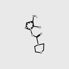 Nc1cnn(OC(=O)N2CCOCC2)c1Cl